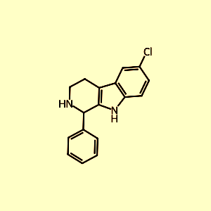 Clc1ccc2[nH]c3c(c2c1)CCNC3c1ccccc1